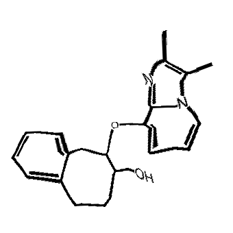 Cc1nc2c(OC3c4ccccc4CCC3O)cccn2c1C